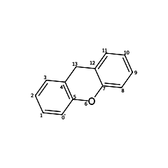 [c]1cccc2c1Oc1ccccc1C2